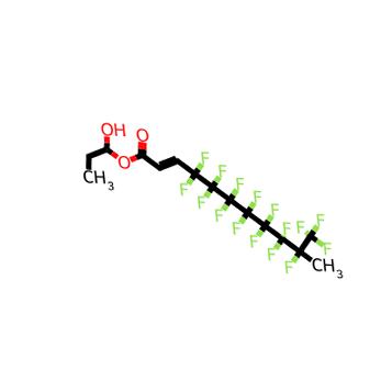 CCC(O)OC(=O)C=CC(F)(F)C(F)(F)C(F)(F)C(F)(F)C(F)(F)C(F)(F)C(C)(F)C(F)(F)F